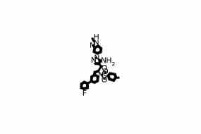 Cc1ccc(S(=O)(=O)n2c(C(=O)c3cnn(-c4ccc5[nH]c(C)nc5c4)c3N)cc3cc(-c4cccc(F)c4)ccc32)cc1